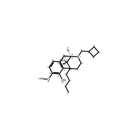 CCCCC12CCN(CC3CCC3)[C@H](Cc3ccc(OF)c(O)c31)C2(C)O